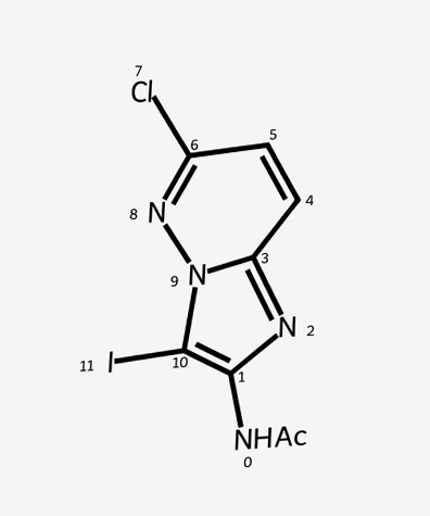 CC(=O)Nc1nc2ccc(Cl)nn2c1I